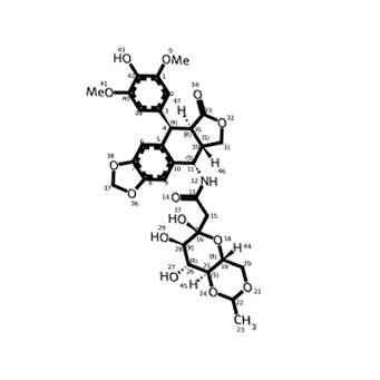 COc1cc([C@@H]2c3cc4c(cc3[C@@H](NC(=O)C[C@]3(O)O[C@@H]5COC(C)O[C@H]5[C@H](O)[C@H]3O)[C@H]3COC(=O)[C@H]23)OCO4)cc(OC)c1O